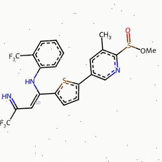 COS(=O)c1ncc(-c2ccc(/C(=C/C(=N)C(F)(F)F)Nc3ccccc3C(F)(F)F)s2)cc1C